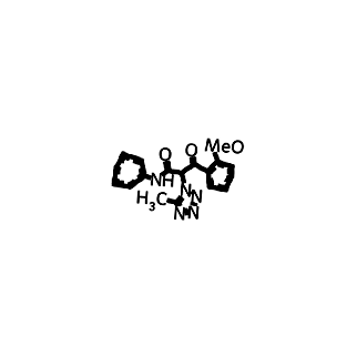 COc1ccccc1C(=O)C(C(=O)Nc1ccccc1)n1nnnc1C